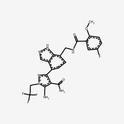 COc1ccc(F)cc1C(=O)NCc1ccc(-c2nn(CC(F)(F)F)c(N)c2C(N)=O)c2cn[nH]c12